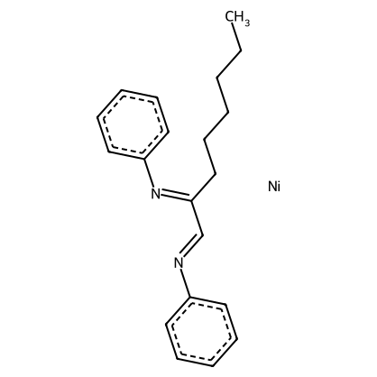 CCCCCCC(C=Nc1ccccc1)=Nc1ccccc1.[Ni]